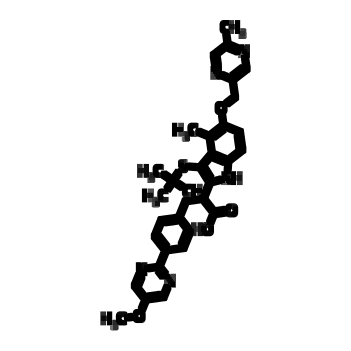 COc1cnc(-c2ccc(CC(C(=O)O)c3[nH]c4ccc(OCc5cnc(C)cn5)c(C)c4c3SC(C)(C)C)cc2)nc1